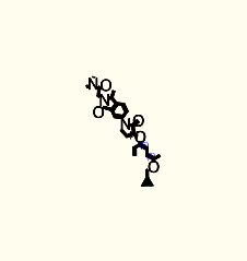 C=C/C(=C\C=C(/C)OCC1CC1)O[C@@H]1CCN(c2ccc3c(c2)C(=O)N(CC(=O)N(C)C)C3C)C1=O